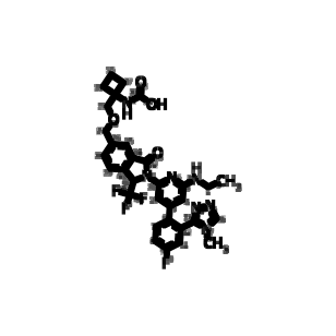 CCNc1cc(-c2ccc(F)cc2-c2nncn2C)cc(N2C(=O)c3cc(COCC4(NC(=O)O)CCC4)ccc3C2C(F)(F)F)n1